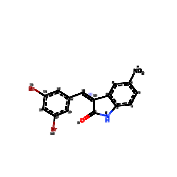 O=C1Nc2ccc([N+](=O)[O-])cc2/C1=C/c1cc(Br)cc(Br)c1